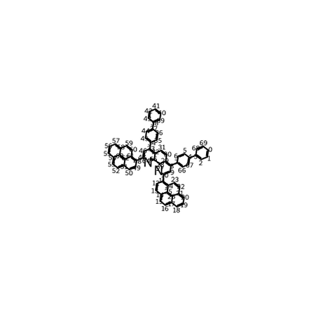 c1ccc(-c2ccc(-c3cc(-c4ccc5ccc6cccc7ccc4c5c67)nc4c3ccc3c(-c5ccc(-c6ccccc6)cc5)cc(-c5ccc6ccc7cccc8ccc5c6c78)nc34)cc2)cc1